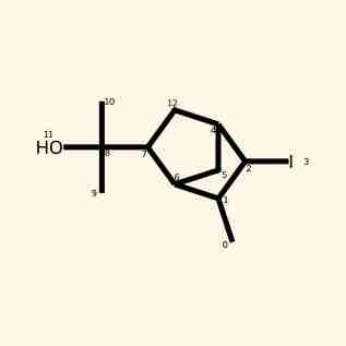 CC1C(I)C2CC1C(C(C)(C)O)C2